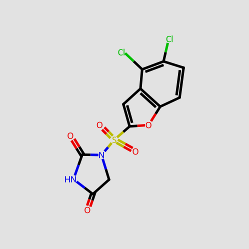 O=C1CN(S(=O)(=O)c2cc3c(Cl)c(Cl)ccc3o2)C(=O)N1